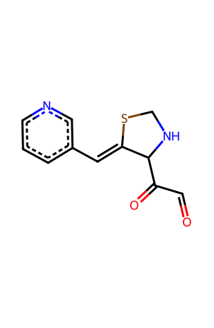 O=CC(=O)C1NCSC1=Cc1cccnc1